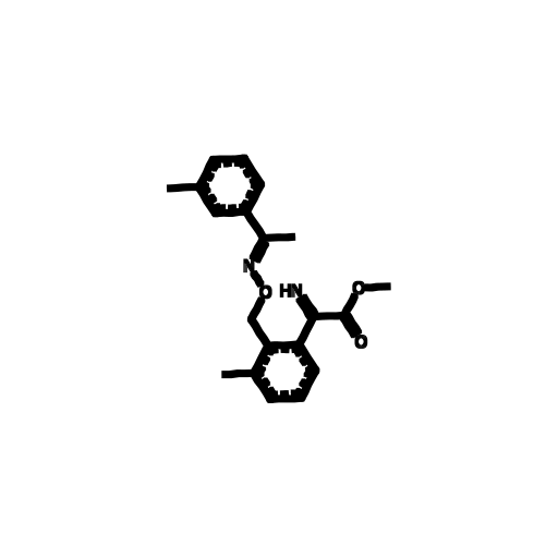 COC(=O)C(=N)c1cccc(C)c1CO/N=C(\C)c1cccc(C)c1